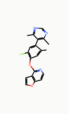 Cc1cc(Oc2nccc3occc23)c(F)cc1-c1c(C)ncnc1C